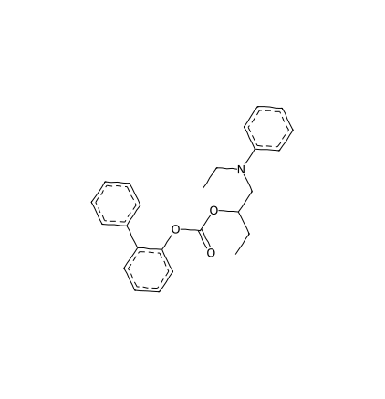 CCC(CN(CC)c1ccccc1)OC(=O)Oc1ccccc1-c1ccccc1